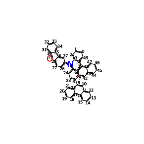 c1ccc(N(c2ccc(-c3cc4ccccc4c4ccccc34)cc2)c2ccc3oc4ccccc4c3c2)c(-c2cccc3ccccc23)c1